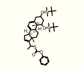 CC(SC(=O)Oc1ccccc1)C1=CC[C@H]2C3=CC=C4CC(O[Si](C)(C)C(C)(C)C)CC(O[Si](C)(C)C(C)(C)C)[C@]4(C)[C@H]3CC[C@]12C